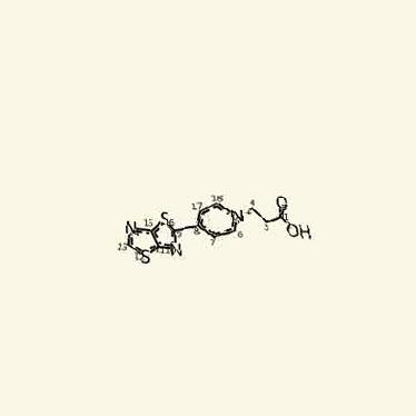 O=C(O)CC[n+]1ccc(-c2nc3scnc3s2)cc1